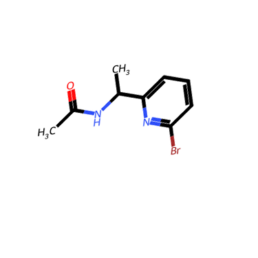 CC(=O)NC(C)c1cccc(Br)n1